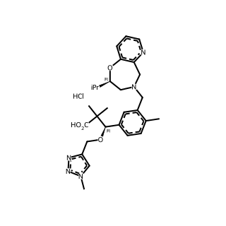 Cc1ccc([C@@H](OCc2cn(C)nn2)C(C)(C)C(=O)O)cc1CN1Cc2ncccc2O[C@H](C(C)C)C1.Cl